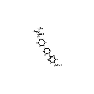 CCCCCCCCc1cnc(-c2ccc([C@H]3CC[C@H](OC(=O)[C@@H](F)[C@@H](C)CC)CC3)cc2)nc1